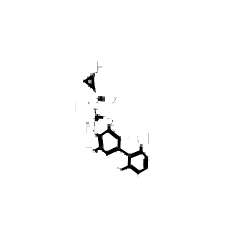 Cc1cccc(F)c1-c1cc(F)c2nc(NC(=O)[C@@H]3C[C@@H]3F)sc2c1